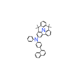 CC1(C)c2cccc3c2-n2c4c1cccc4c1cc(N(c4ccccc4)c4ccc(-c5cccc6ccccc56)cc4)cc(c12)C3(C)C